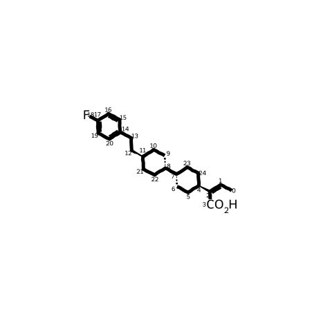 CC=C(C(=O)O)[C@H]1CC[C@H]([C@H]2CC[C@H](CCc3ccc(F)cc3)CC2)CC1